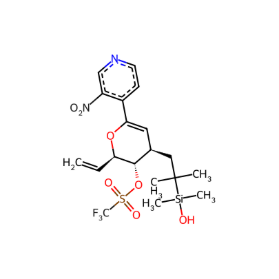 C=C[C@H]1OC(c2ccncc2[N+](=O)[O-])=C[C@@H](CC(C)(C)[Si](C)(C)O)[C@@H]1OS(=O)(=O)C(F)(F)F